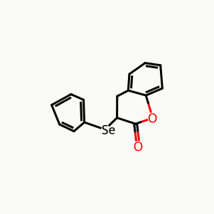 O=C1Oc2ccccc2CC1[Se]c1ccccc1